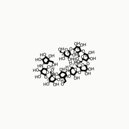 C[C@H]1O[C@H](O[C@H]2[C@H](O)[C@@H](O)[C@@H](O[C@H]3[C@H](O)[C@@H](O)[C@@H](O[C@H]4[C@H](O)[C@@H](O)[C@@H](O[C@H]5O[C@H](CO)[C@@H](O)[C@H](O)[C@H]5O)O[C@@H]4CO)O[C@@H]3CO)O[C@@H]2CO)[C@H](O)[C@@H](O)[C@@H]1N[C@H]1C=C(CO)[C@@H](O[C@H]2O[C@H](CO)[C@@H](O[C@H]3O[C@H](C)[C@@H](N[C@H]4C=C(CO)[C@@H](O)[C@H](O)[C@H]4O)[C@H](O)[C@H]3O)[C@H](O)[C@H]2O)[C@H](O)[C@H]1O